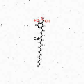 CCCCCCCCCCCCCCCCc1ccc(O)c(C(=O)O)c1.[CaH2]